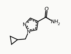 NC(=O)c1cnn(CC2CC2)c1